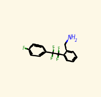 NCc1ccccc1C(F)(F)C(F)(F)c1ccc(F)cc1